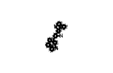 N#Cc1cc(-n2c3ccccc3c3c(-n4c5ccccc5c5ccccc54)c(C#N)ccc32)ccc1-c1ccc(-n2c3ccccc3c3ccccc32)c(C#N)c1